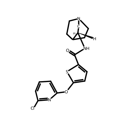 O=C(N[C@H]1CN2CCC1CC2)c1ccc(Oc2cccc(Cl)n2)s1